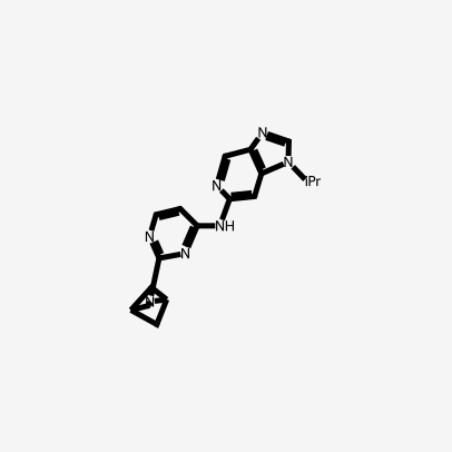 CC(C)n1cnc2cnc(Nc3ccnc(N4CC5CC4C5)n3)cc21